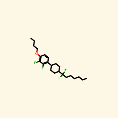 CCCCCCC(F)(F)C1CCC(c2ccc(OCCCC)c(F)c2F)CC1